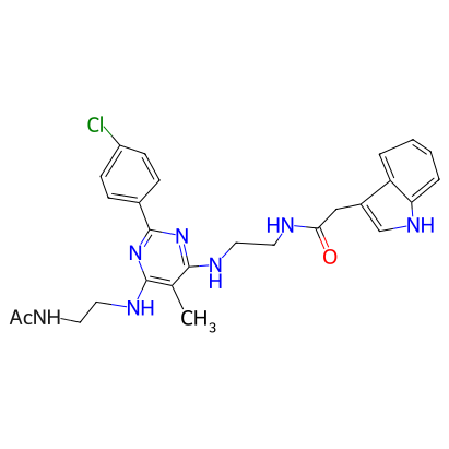 CC(=O)NCCNc1nc(-c2ccc(Cl)cc2)nc(NCCNC(=O)Cc2c[nH]c3ccccc23)c1C